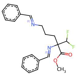 COC(=O)C(CCC/N=C/c1ccccc1)(/N=C/c1ccccc1)C(F)F